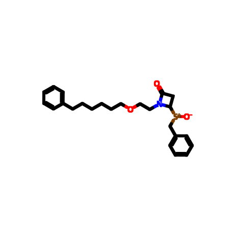 O=C1CC([S+]([O-])Cc2ccccc2)N1CCOCCCCCCc1ccccc1